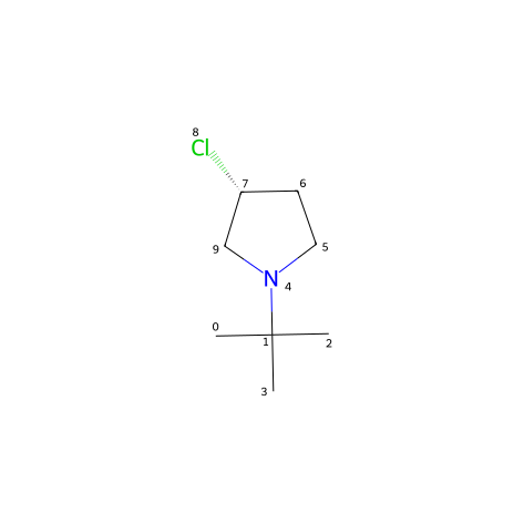 CC(C)(C)N1CC[C@@H](Cl)C1